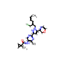 C/C=C\C=C(/CF)Cn1nc(-c2ncc(NC(=O)C3(C(F)(F)F)CC3)c(N=O)n2)cc1C1=NC=COC1